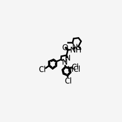 CC1CCCC(C)N1NC(=O)C1=NN(c2ccc(Cl)cc2Cl)C(c2ccc(Cl)cc2)C1.Cl